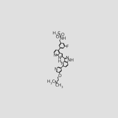 CN(C)CCOc1cncc(-c2ccc3[nH]nc(-c4cc5c(-c6cc(F)cc(CNS(C)(=O)=O)c6)ccnc5[nH]4)c3n2)c1